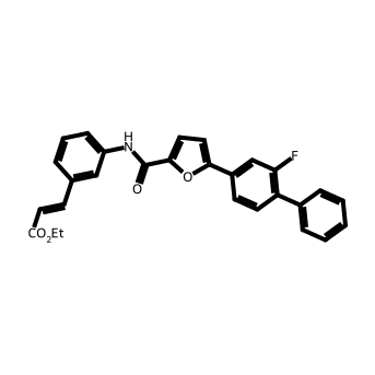 CCOC(=O)C=Cc1cccc(NC(=O)c2ccc(-c3ccc(-c4ccccc4)c(F)c3)o2)c1